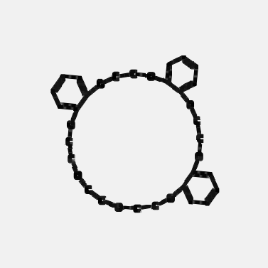 c1ccc2c(c1)OCCOCCOCCOc1ccccc1OCCOc1ccccc1OCCO2